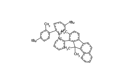 Cc1cc(C(C)(C)C)ccc1-c1ccc(C(C)(C)C)c[n+]1-[n+]1ccccc1-c1c(C)ccc2c1C(C)(C)c1c-2ccc2ccccc12